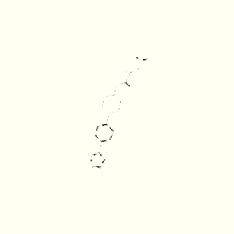 O=C(CC1CCC(c2ccc(-c3cc(C(F)(F)F)n[nH]3)cc2)CC1)NC[SH](=O)=O